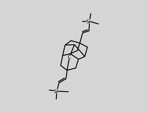 C[Si](C)(C)C=CC12CC3C4CC5(C=C[Si](C)(C)C)CC3C(C1)C(C5)C4C2